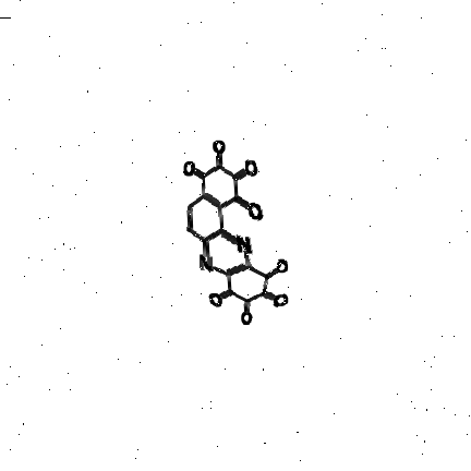 O=c1c(=O)c(=O)c2c(ccc3nc4c(=O)c(=O)c(=O)c(=O)c4nc32)c1=O